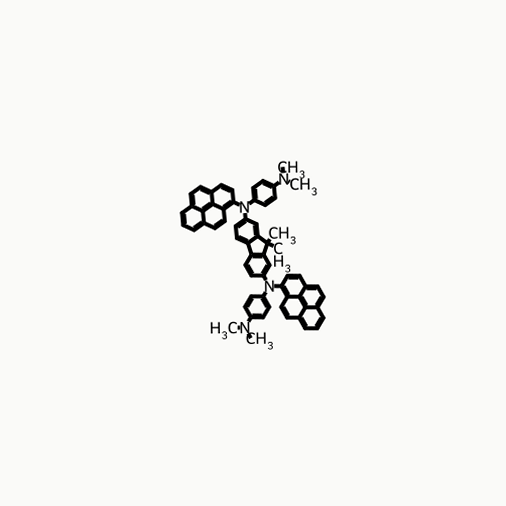 CN(C)c1ccc(N(c2ccc3c(c2)C(C)(C)c2cc(N(c4ccc(N(C)C)cc4)c4ccc5ccc6cccc7ccc4c5c67)ccc2-3)c2ccc3ccc4cccc5ccc2c3c45)cc1